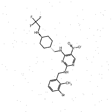 Cc1c(Br)cccc1CNc1ncc([N+](=O)[O-])c(NC[C@H]2CC[C@H](NCC(F)(F)F)CC2)n1